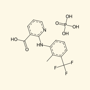 Cc1c(Nc2ncccc2C(=O)O)cccc1C(F)(F)F.O=P(O)(O)O